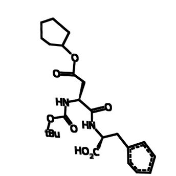 CC(C)(C)OC(=O)N[C@@H](CC(=O)OC1CCCCC1)C(=O)N[C@@H](Cc1ccccc1)C(=O)O